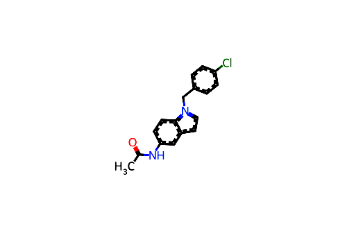 CC(=O)Nc1ccc2c(ccn2Cc2ccc(Cl)cc2)c1